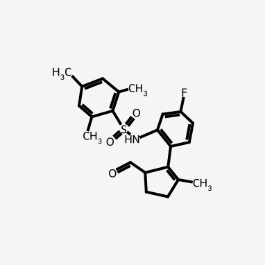 CC1=C(c2ccc(F)cc2NS(=O)(=O)c2c(C)cc(C)cc2C)C(C=O)CC1